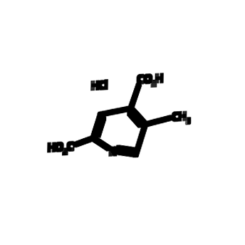 Cc1cnc(C(=O)O)cc1C(=O)O.Cl